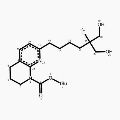 CC(C)(C)OC(=O)N1CCCc2ccc(CCCCC(F)(CO)CO)nc21